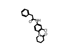 O=C(Cc1ccccc1)Nc1ccc(N2CCCCC2=O)c(Cl)c1